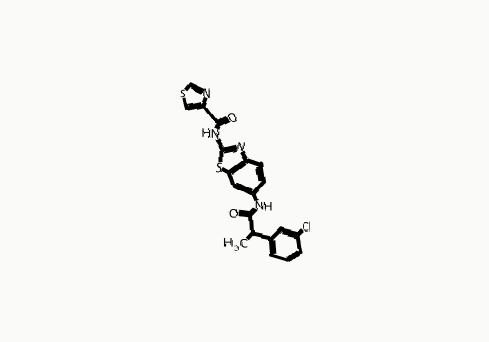 CC(C(=O)Nc1ccc2nc(NC(=O)c3cscn3)sc2c1)c1cccc(Cl)c1